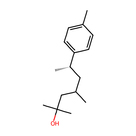 Cc1ccc([C@@H](C)CC(C)CC(C)(C)O)cc1